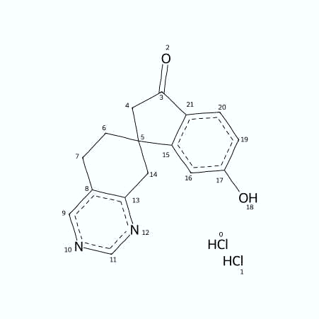 Cl.Cl.O=C1CC2(CCc3cncnc3C2)c2cc(O)ccc21